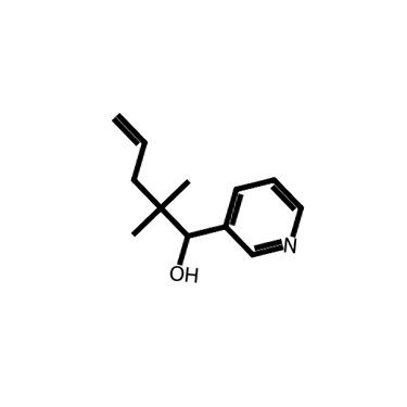 C=CCC(C)(C)C(O)c1cccnc1